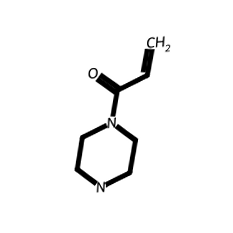 C=CC(=O)N1CC[N]CC1